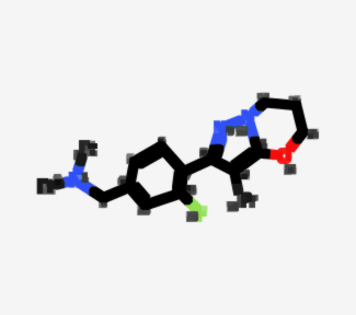 CCN(CC)Cc1ccc(-c2nn3c(c2C(C)C)OCCC3)c(F)c1